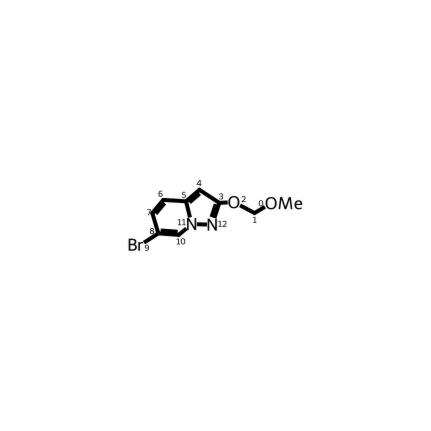 COCOc1cc2ccc(Br)cn2n1